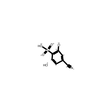 Cl.N#Cc1ccc(S(=O)(=O)O)c(Cl)c1